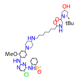 COc1cc(N2CCC(NCCCCCCCC(=O)N[C@H](C(=O)N3C[C@H](O)C[C@H]3C)C(C)(C)C)CC2)ccc1Nc1ncc(Cl)c(Nc2ccccc2P(C)(C)=O)n1